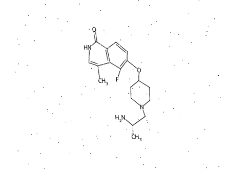 Cc1c[nH]c(=O)c2ccc(OC3CCN(C[C@H](C)N)CC3)c(F)c12